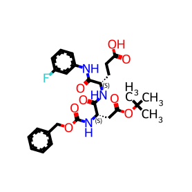 CC(C)(C)OC(=O)C[C@H](NC(=O)OCc1ccccc1)C(=O)N[C@@H](CCC(=O)O)C(=O)Nc1cccc(F)c1